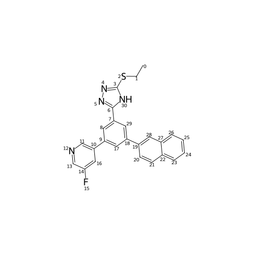 CCSc1nnc(-c2cc(-c3cncc(F)c3)cc(-c3ccc4ccccc4c3)c2)[nH]1